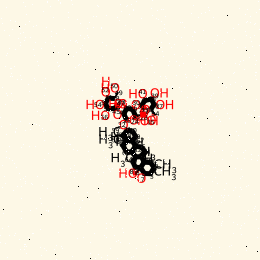 CC1(C)CC[C@]2(C(=O)O)CC[C@]3(C)C(=CC[C@@H]4[C@@]5(C)CC[C@H](O[C@@H]6O[C@H](C(=O)O)[C@@H](O[C@@H]7O[C@H](CO)[C@@H](O)[C@H](O)[C@H]7O)[C@H](O)[C@H]6O[C@@H]6O[C@H](CO)[C@@H](O)[C@H](O)[C@H]6O)C(C)(C)[C@@H]5CC[C@]43C)[C@@H]2C1